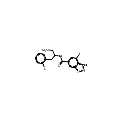 O=C(O)CC(Cc1ccccc1Cl)NC(=O)c1cc(F)c2[nH]nnc2c1